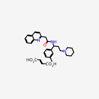 Cc1cccc(C(CCN2CCCCC2)NC(=O)Cc2ccc3ccccc3n2)c1.O=C(O)C=CC(=O)O